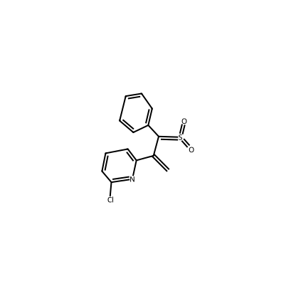 C=C(C(c1ccccc1)=S(=O)=O)c1cccc(Cl)n1